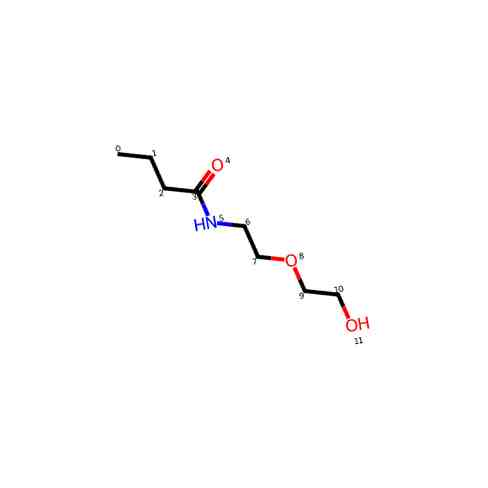 CCCC(=O)NCCOCCO